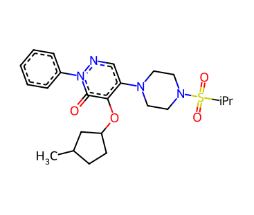 CC1CCC(Oc2c(N3CCN(S(=O)(=O)C(C)C)CC3)cnn(-c3ccccc3)c2=O)C1